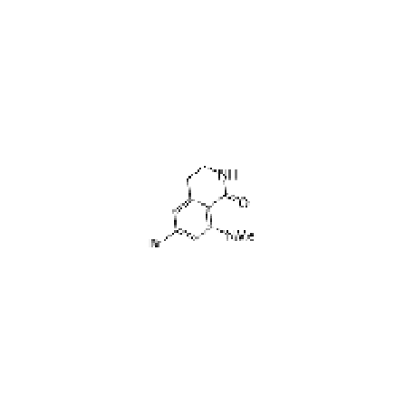 CNc1cc(Br)cc2c1C(=O)NCC2